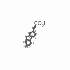 O=C(O)C#Cc1ccc2c(c1)Cc1cc(F)ccc1-2